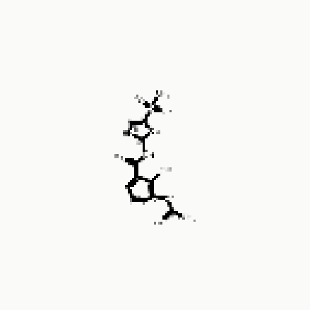 CC(=O)Oc1cccc(C(=O)NC2NC=C(S(C)(=O)=O)S2)c1Cl